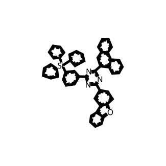 c1ccc([Si](c2ccccc2)(c2ccccc2)c2cccc(-c3nc(-c4ccc5oc6ccccc6c5c4)nc(-c4cc5ccccc5c5ccccc45)n3)c2)cc1